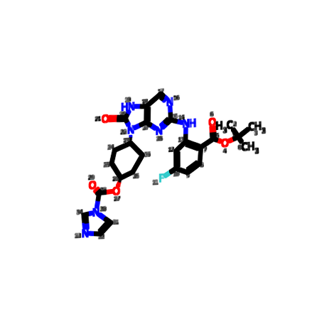 CC(C)(C)OC(=O)c1ccc(F)cc1Nc1ncc2[nH]c(=O)n([C@H]3CC[C@H](OC(=O)n4ccnc4)CC3)c2n1